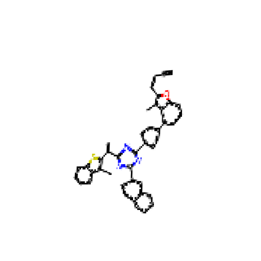 C#C/C=C\c1oc2cccc(-c3ccc(-c4nc(C(=C)c5sc6ccccc6c5C)nc(-c5ccc6ccccc6c5)n4)cc3)c2c1C